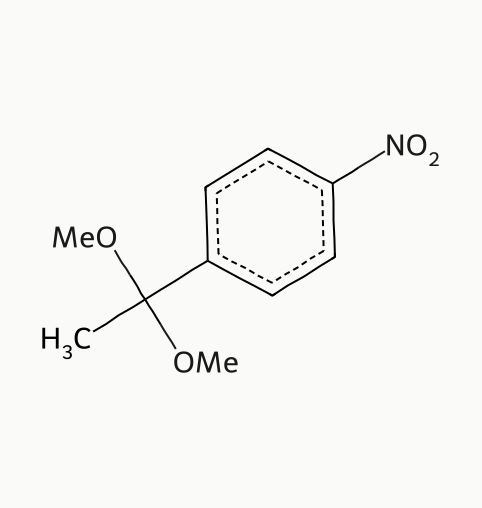 COC(C)(OC)c1ccc([N+](=O)[O-])cc1